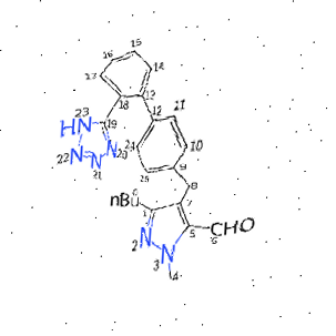 CCCCc1nn(C)c(C=O)c1Cc1ccc(-c2ccccc2-c2nnn[nH]2)cc1